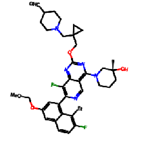 CCc1c(F)ccc2cc(OCOC)cc(-c3ncc4c(N5CCC[C@@](C)(O)C5)nc(OCC5(CN6CCC(C=O)CC6)CC5)nc4c3F)c12